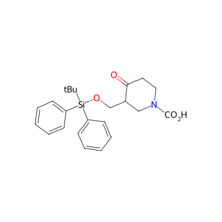 CC(C)(C)[Si](OCC1CN(C(=O)O)CCC1=O)(c1ccccc1)c1ccccc1